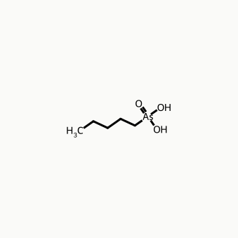 CCCCC[As](=O)(O)O